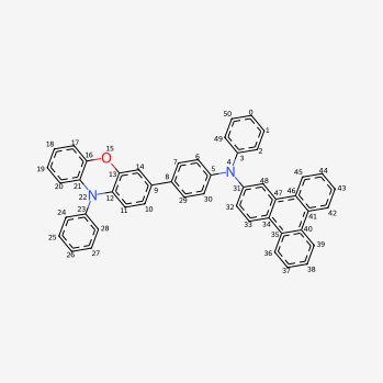 c1ccc(N(c2ccc(-c3ccc4c(c3)Oc3ccccc3N4c3ccccc3)cc2)c2ccc3c4ccccc4c4ccccc4c3c2)cc1